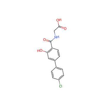 O=C(O)CNC(=O)c1ccc(-c2ccc(Cl)cc2)cc1O